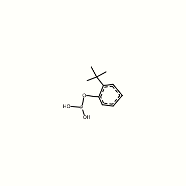 CC(C)(C)c1ccccc1OP(O)O